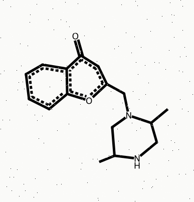 CC1CN(Cc2cc(=O)c3ccccc3o2)C(C)CN1